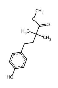 COC(=O)C(C)(C)CCc1ccc(O)cc1